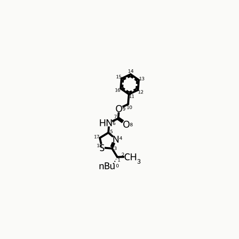 CCCC[C@@H](C)C1=NC(NC(=O)OCc2ccccc2)CS1